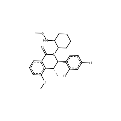 COc1cccc2c1[C@@H](C)[C@H](c1ccc(Cl)cc1Cl)N(C1CCCC[C@@H]1NSC)C2=O